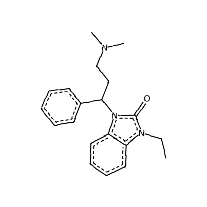 CCn1c(=O)n(C(CCN(C)C)c2ccccc2)c2ccccc21